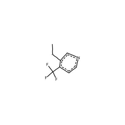 C[CH]c1cnccc1C(F)(F)F